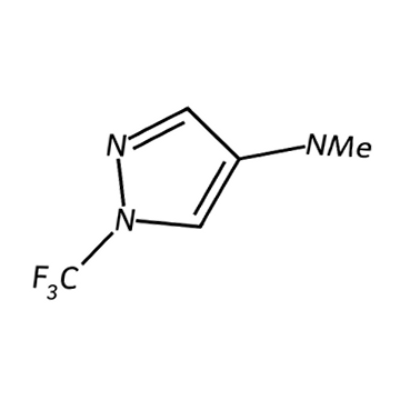 CNc1cnn(C(F)(F)F)c1